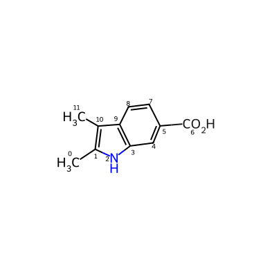 Cc1[nH]c2cc(C(=O)O)ccc2c1C